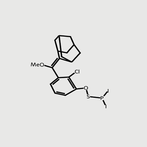 COC(=C1C2CC3CC(C2)CC1C3)c1cccc(OSP(I)I)c1Cl